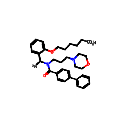 [2H]C(c1ccccc1OCCCCCC(=O)O)N(CCCN1CCOCC1)C(=O)c1ccc(-c2ccccc2)cc1